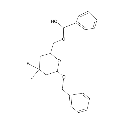 OC(OCC1CC(F)(F)CC(OCc2ccccc2)O1)c1ccccc1